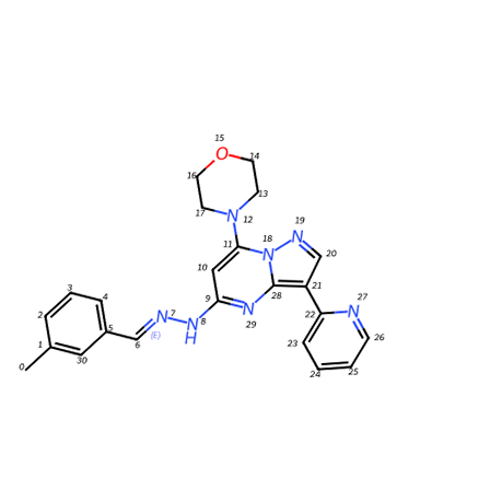 Cc1cccc(/C=N/Nc2cc(N3CCOCC3)n3ncc(-c4ccccn4)c3n2)c1